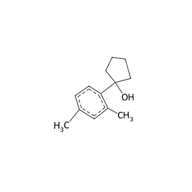 Cc1ccc(C2(O)CCCC2)c(C)c1